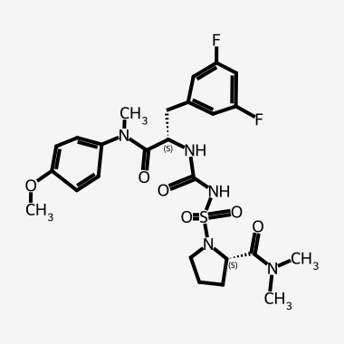 COc1ccc(N(C)C(=O)[C@H](Cc2cc(F)cc(F)c2)NC(=O)NS(=O)(=O)N2CCC[C@H]2C(=O)N(C)C)cc1